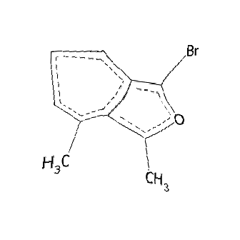 Cc1cccc2c(Br)oc(C)c12